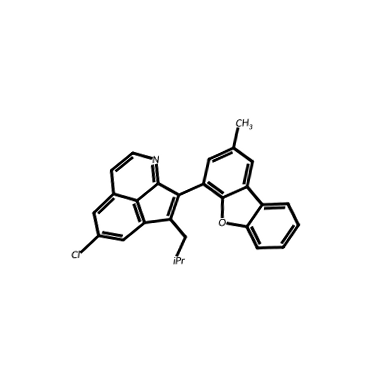 Cc1cc(C2=C(CC(C)C)c3cc(Cl)cc4ccnc2c34)c2oc3ccccc3c2c1